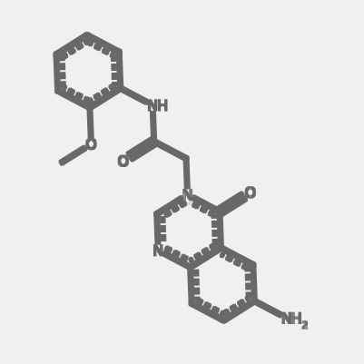 COc1ccccc1NC(=O)Cn1cnc2ccc(N)cc2c1=O